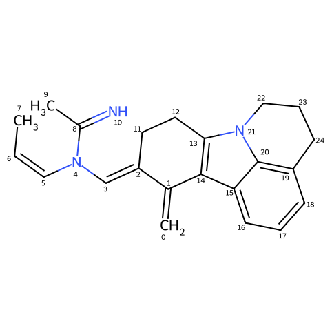 C=C1/C(=C/N(/C=C\C)C(C)=N)CCc2c1c1cccc3c1n2CCC3